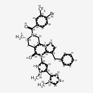 C[C@H]1Cc2c(n3ncc(Cc4ccccc4)c3n(-c3cc(-c4nncn4C)n(C)n3)c2=O)CN1C(=O)c1ccc(Br)c(C(F)(F)F)c1